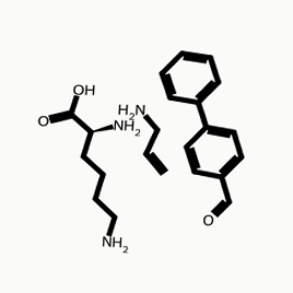 C=CCN.NCCCC[C@H](N)C(=O)O.O=Cc1ccc(-c2ccccc2)cc1